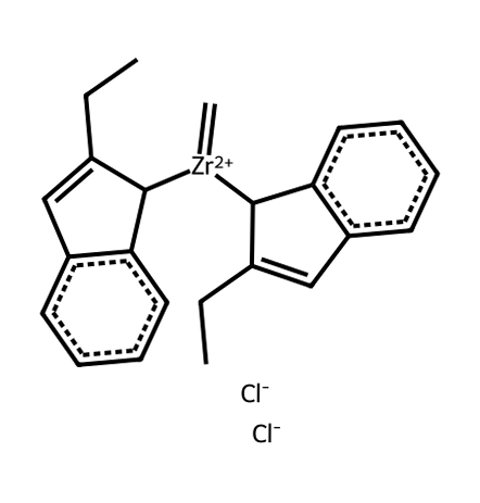 [CH2]=[Zr+2]([CH]1C(CC)=Cc2ccccc21)[CH]1C(CC)=Cc2ccccc21.[Cl-].[Cl-]